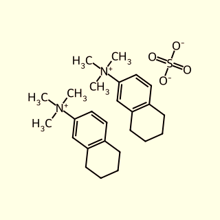 C[N+](C)(C)c1ccc2c(c1)CCCC2.C[N+](C)(C)c1ccc2c(c1)CCCC2.O=S(=O)([O-])[O-]